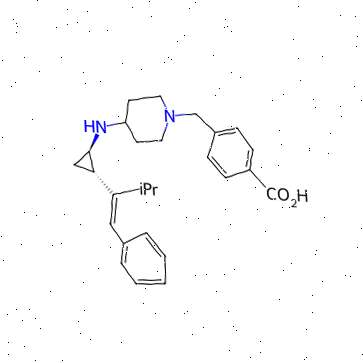 CC(C)/C(=C\c1ccccc1)[C@@H]1C[C@H]1NC1CCN(Cc2ccc(C(=O)O)cc2)CC1